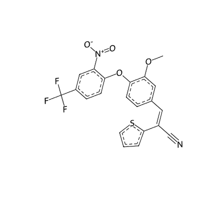 COc1cc(/C=C(/C#N)c2cccs2)ccc1Oc1ccc(C(F)(F)F)cc1[N+](=O)[O-]